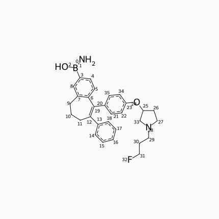 NB(O)c1ccc2c(c1)CCCC(c1ccccc1)=C2c1ccc(OC2CCN(CCCF)C2)cc1